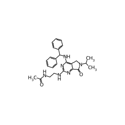 CC(=O)NCCNc1nc(NC(c2ccccc2)c2ccccc2)c2c(n1)C(=O)N(C(C)C)C2